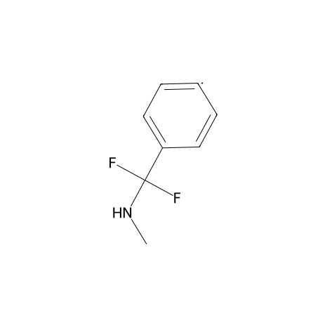 CNC(F)(F)c1cc[c]cc1